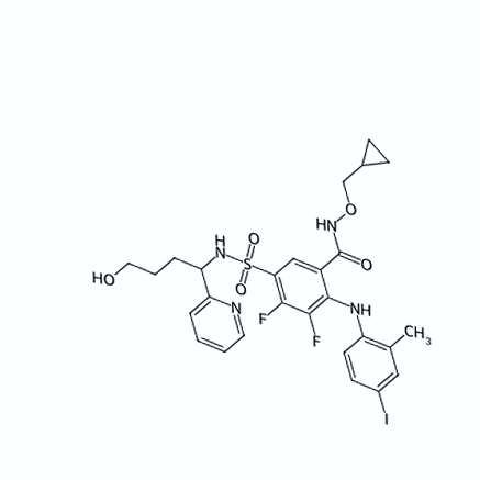 Cc1cc(I)ccc1Nc1c(C(=O)NOCC2CC2)cc(S(=O)(=O)NC(CCCO)c2ccccn2)c(F)c1F